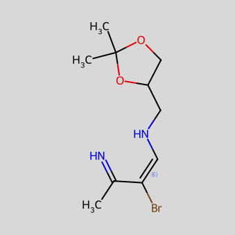 CC(=N)/C(Br)=C\NCC1COC(C)(C)O1